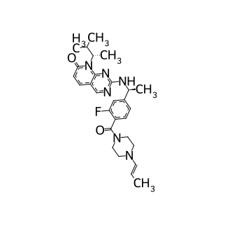 CC=CN1CCN(C(=O)c2ccc([C@H](C)Nc3ncc4ccc(=O)n([C@@H](C)C(C)C)c4n3)cc2F)CC1